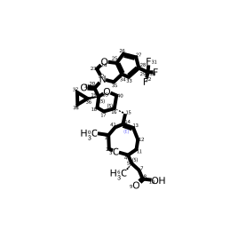 CC1CCC([C@@H](C)CC(=O)O)CC/C=C(/C[C@@H]2CC[C@@](C(=O)N3COc4ccc(C(F)(F)F)cc4C3)(C3CC3)OC2)C1